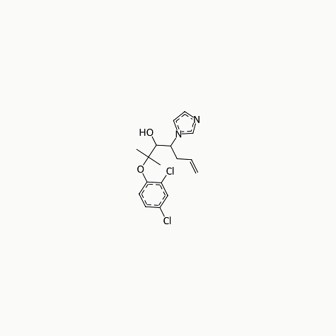 C=CCC(C(O)C(C)(C)Oc1ccc(Cl)cc1Cl)n1ccnc1